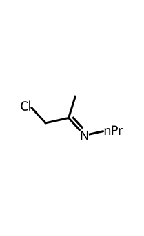 CCC/N=C(\C)CCl